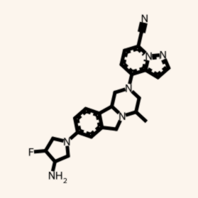 CC1CN(c2ccc(C#N)n3nccc23)CC2c3ccc(N4CC(N)C(F)C4)cc3CN12